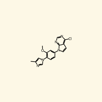 COc1cc(-n2ccc3c(Cl)ncnc32)ccc1-n1cnc(C)c1